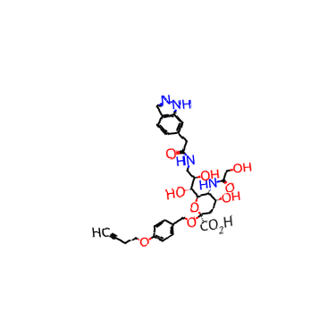 C#CCCOc1ccc(CO[C@]2(C(=O)O)C[C@H](O)[C@@H](NC(=O)CO)[C@H]([C@H](O)[C@H](O)CNC(=O)Cc3ccc4cn[nH]c4c3)O2)cc1